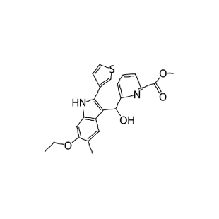 CCOc1cc2[nH]c(-c3ccsc3)c(C(O)c3cccc(C(=O)OC)n3)c2cc1C